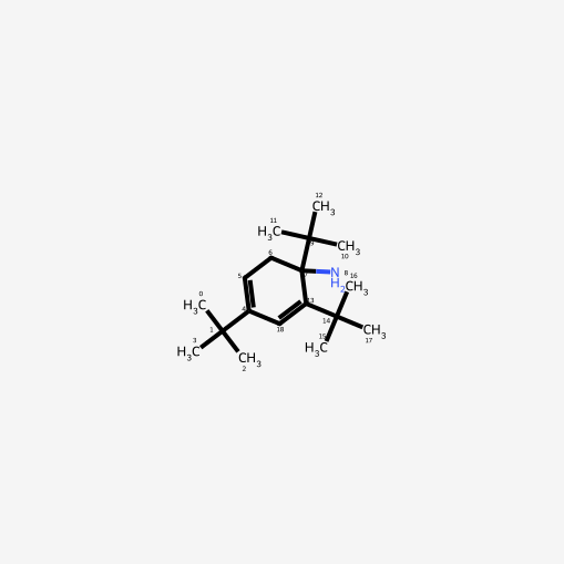 CC(C)(C)C1=CCC(N)(C(C)(C)C)C(C(C)(C)C)=C1